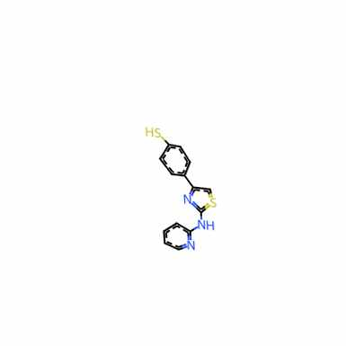 Sc1ccc(-c2csc(Nc3ccccn3)n2)cc1